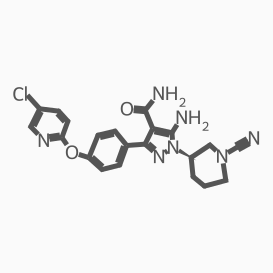 N#CN1CCC[C@@H](n2nc(-c3ccc(Oc4ccc(Cl)cn4)cc3)c(C(N)=O)c2N)C1